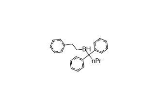 CCCC(BCCc1ccccc1)(c1ccccc1)c1ccccc1